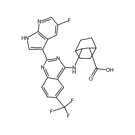 O=C(O)C1C2CCC(CC2)C1Nc1nc(-c2c[nH]c3ncc(F)cc23)nc2ccc(C(F)(F)F)cc12